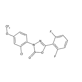 O=c1oc(-c2c(F)cccc2F)nn1-c1ccc(OC(F)(F)F)cc1Cl